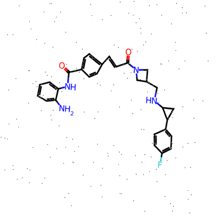 Nc1ccccc1NC(=O)c1ccc(C=CC(=O)N2CC(CNC3CC3c3ccc(F)cc3)C2)cc1